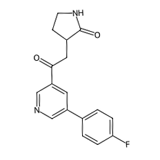 O=C(CC1CCNC1=O)c1cncc(-c2ccc(F)cc2)c1